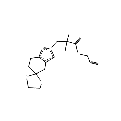 C=CCOC(=O)C(C)(C)Cn1cc2c(n1)CCC1(C2)OCCO1